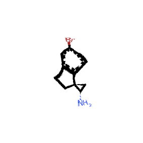 N[C@H]1C[C@]12CCc1cc(Br)ccc12